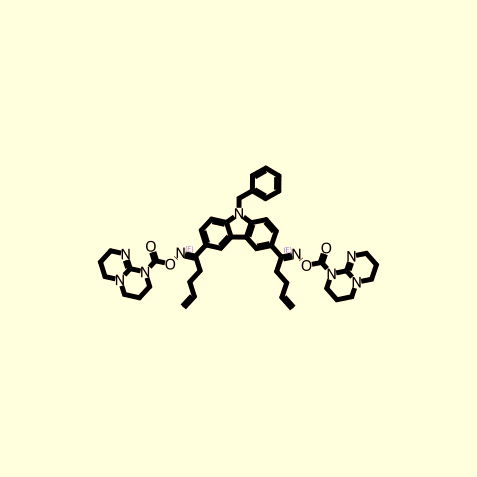 C=CCC/C(=N\OC(=O)N1CCCN2CCCN=C21)c1ccc2c(c1)c1cc(/C(CCC=C)=N/OC(=O)N3CCCN4CCCN=C43)ccc1n2Cc1ccccc1